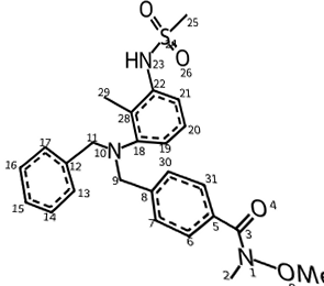 CON(C)C(=O)c1ccc(CN(Cc2ccccc2)c2cccc(NS(C)(=O)=O)c2C)cc1